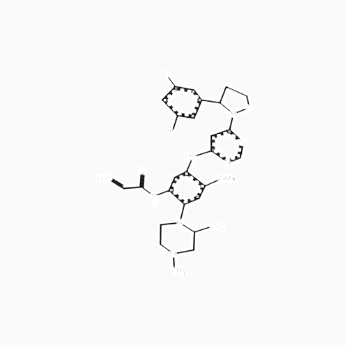 C=CC(=O)Nc1cc(Nc2cc(N3OCCC3c3cc(F)cc(F)c3)ncn2)c(OC)cc1N1CCN(C)CC1C